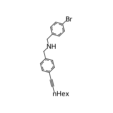 CCCCCCC#Cc1ccc(CNCc2ccc(Br)cc2)cc1